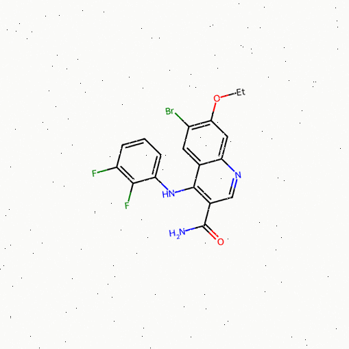 CCOc1cc2ncc(C(N)=O)c(Nc3cccc(F)c3F)c2cc1Br